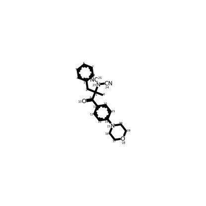 CC(Cc1ccccc1)(C(=O)c1ccc(N2CCOCC2)cc1)N(C#N)C#N